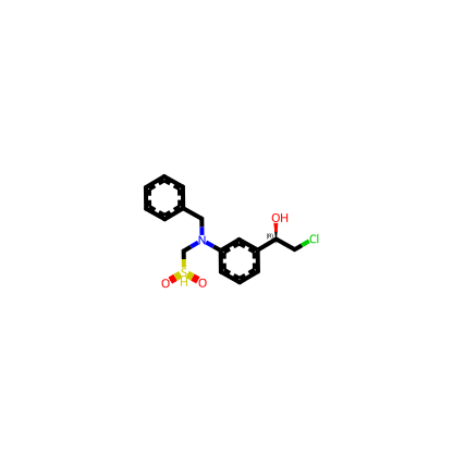 O=[SH](=O)CN(Cc1ccccc1)c1cccc([C@@H](O)CCl)c1